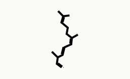 [CH]=CC(C)C=CC=C(C)CCC=C(C)C